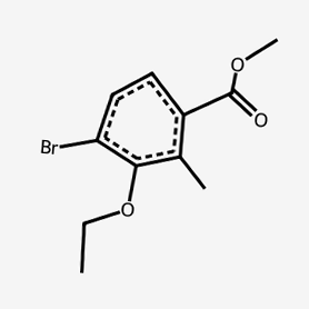 CCOc1c(Br)ccc(C(=O)OC)c1C